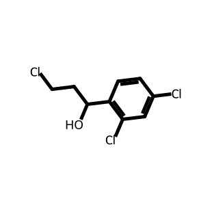 OC(CCCl)c1ccc(Cl)cc1Cl